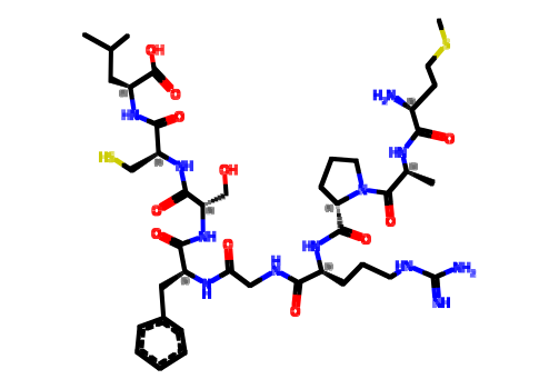 CSCC[C@H](N)C(=O)N[C@@H](C)C(=O)N1CCC[C@H]1C(=O)N[C@@H](CCCNC(=N)N)C(=O)NCC(=O)N[C@@H](Cc1ccccc1)C(=O)N[C@@H](CO)C(=O)N[C@@H](CS)C(=O)N[C@@H](CC(C)C)C(=O)O